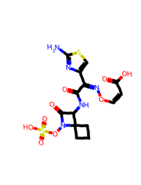 Nc1nc(C(=NO/C=C\C(=O)O)C(=O)NC2C(=O)N(OS(=O)(=O)O)C23CCC3)cs1